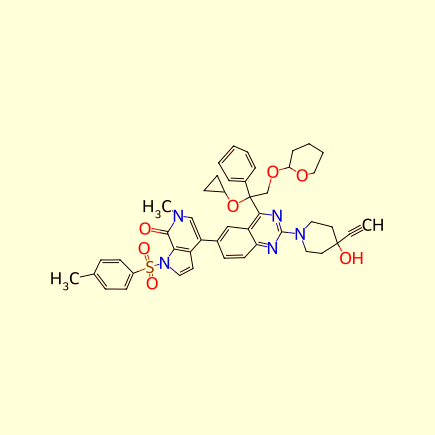 C#CC1(O)CCN(c2nc(C(COC3CCCCO3)(OC3CC3)c3ccccc3)c3cc(-c4cn(C)c(=O)c5c4ccn5S(=O)(=O)c4ccc(C)cc4)ccc3n2)CC1